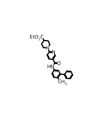 CCOC(=O)C1CCN(c2ccc(C(=O)Nc3ccc(C)c(-c4ccccc4)c3)cn2)CC1